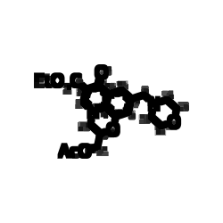 CCOC(=O)c1cn2c3c(cc(CN4CCOCC4)cc3c1=O)OC(COC(C)=O)C2